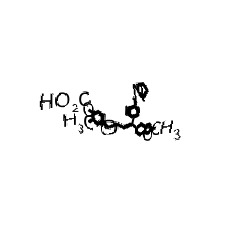 Cc1cc2cc(/C(=C/COc3ccc(OCC(=O)O)c(C)c3)c3ccc(CN4CCCC4)cc3)ccc2o1